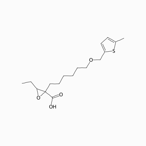 CCC1OC1(CCCCCCOCc1ccc(C)s1)C(=O)O